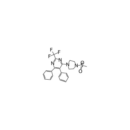 CS(=O)(=O)N1CCN(c2nc(C(F)(F)F)nc(-c3ccccc3)c2-c2ccccc2)CC1